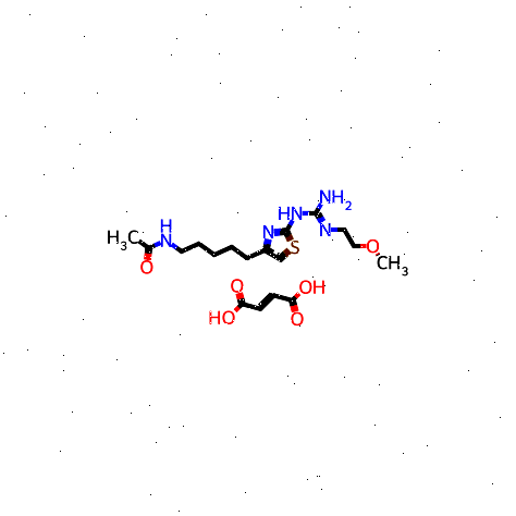 COCCN=C(N)Nc1nc(CCCCCNC(C)=O)cs1.O=C(O)C=CC(=O)O